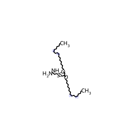 CCCC/C=C\C/C=C\CCCCCCCCOC(COCCCCCCCC/C=C\C/C=C\CCCCC)CSSCCC(=N)N